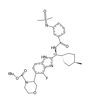 CC(C)(C)OC(=O)N1CCOCC1c1ccc2[nH]c([C@@H](NC(=O)c3cccc(N=S(C)(C)=O)c3)[C@H]3CC[C@H](C)CC3)nc2c1F